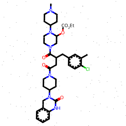 CCOC(=O)OC1CN(C(=O)C(CC(=O)N2CCC(N3Cc4ccccc4NC3=O)CC2)Cc2ccc(Cl)c(C)c2)CCN1C1CCN(C)CC1